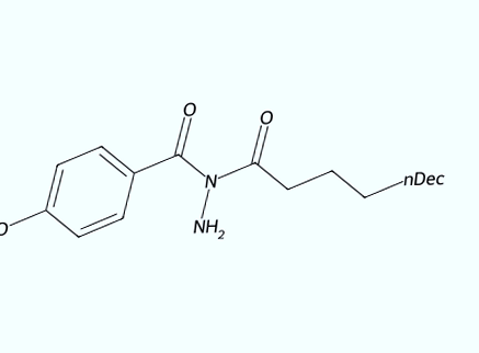 CCCCCCCCCCCCCC(=O)N(N)C(=O)c1ccc(O)cc1